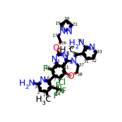 Cc1cc(N)nc(-c2c(Cl)c3c4c(nc(OCCn5cccn5)nc4c2F)N([C@H](C)c2cccnc2N)CCO3)c1C(F)(F)F